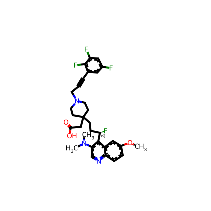 COc1ccc2ncc(N(C)C)c([C@@H](F)CCC3(CC(=O)O)CCN(CC#Cc4cc(F)cc(F)c4F)CC3)c2c1